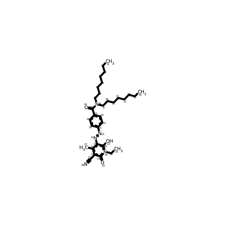 CCCCCCCCN(CCCCCCCC)C(=O)c1ccc(/N=N/c2c(C)c(C#N)c(=O)n(CC)c2O)cc1